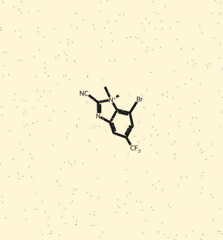 C[N+]1(C)C(C#N)=Nc2cc(C(F)(F)F)cc(Br)c21